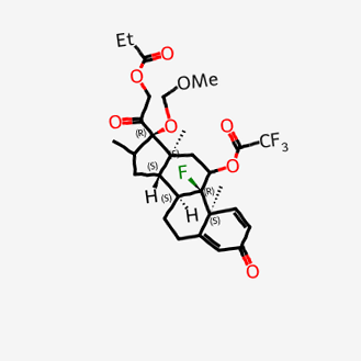 CCC(=O)OCC(=O)[C@@]1(OCOC)C(C)C[C@H]2[C@@H]3CCC4=CC(=O)C=C[C@]4(C)[C@@]3(F)C(OC(=O)C(F)(F)F)C[C@@]21C